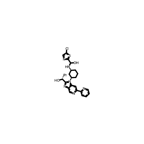 CC(C)[C@@H](O)c1nc2cnc(-c3ccccn3)cc2n1[C@@H]1CCC[C@H](NC(O)c2ncc(Cl)s2)C1